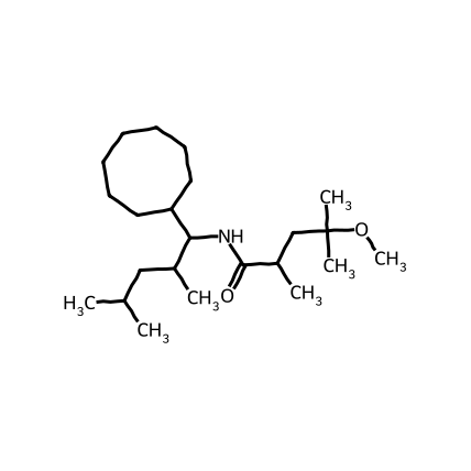 COC(C)(C)CC(C)C(=O)NC(C(C)CC(C)C)C1CCCCCCC1